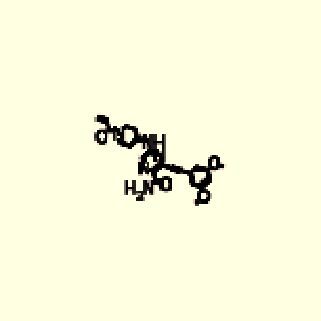 C=CC(=O)N1CCC(Nc2cnc(C(N)=O)c(C#Cc3cc(OC)cc(OC)c3)n2)CC1